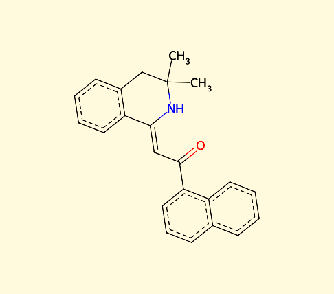 CC1(C)Cc2ccccc2/C(=C/C(=O)c2cccc3ccccc23)N1